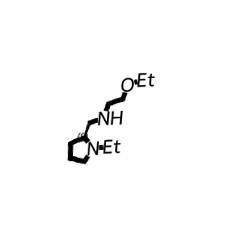 CCOCCNC[C@@H]1CCCN1CC